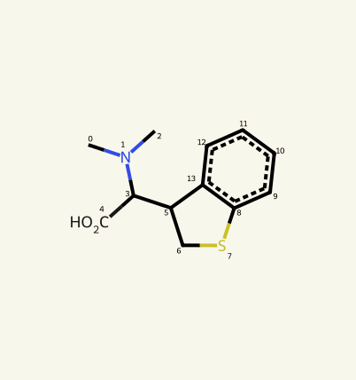 CN(C)C(C(=O)O)C1CSc2ccccc21